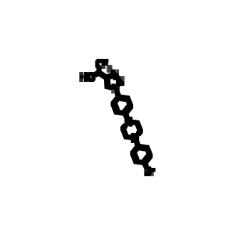 OC(c1cn(-c2ccc(N3CCN(c4ccc(Br)cc4)CC3)cc2)nn1)C(F)(F)F